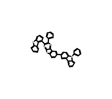 c1ccc(-c2nc3c(nc2-c2cccc4oc5ccccc5c24)oc2ccc(-c4ccc5c(c4)c4ccccc4n5-c4ccccc4)cc23)cc1